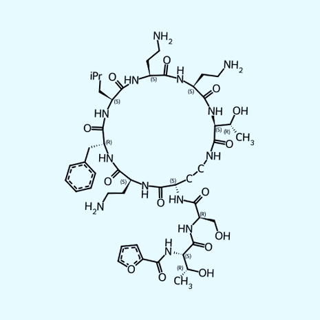 CC(C)C[C@@H]1NC(=O)[C@@H](Cc2ccccc2)NC(=O)[C@H](CCN)NC(=O)[C@@H](NC(=O)[C@@H](CO)NC(=O)[C@@H](NC(=O)c2ccco2)[C@@H](C)O)CCNC(=O)[C@H]([C@@H](C)O)NC(=O)[C@H](CCN)NC(=O)[C@H](CCN)NC1=O